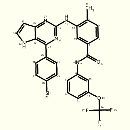 Cc1ccc(C(=O)Nc2cccc(OC(F)(F)F)c2)cc1Nc1nc(-c2ccc(S)cc2)c2[nH]ccc2n1